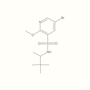 COc1ncc(Br)cc1S(=O)(=O)NC(C)C(C)(C)C